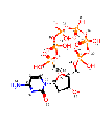 COP(=O)(O)OP(=O)(O)OP(=O)(O)OP(=O)(O)OP(=O)(O)OP(=O)(O)OC[C@H]1O[C@@H](n2ccc(N)nc2=O)C[C@H]1O